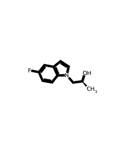 C[C@H](O)Cn1ccc2cc(F)ccc21